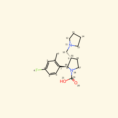 Cc1cc(F)ccc1[C@H]1[C@H](CN2CCCC2)CCN1C(=O)O